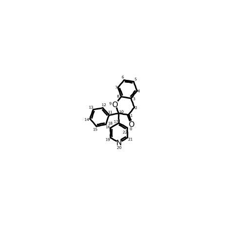 O=C1Cc2ccccc2OC1(c1ccccc1)c1ccncc1